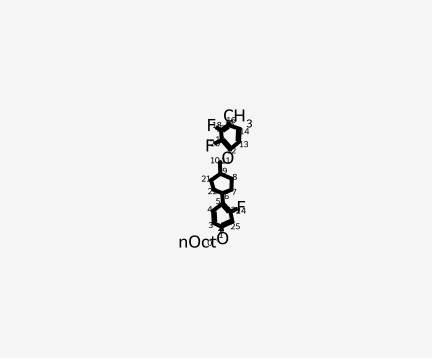 CCCCCCCCOc1ccc(C2CCC(COc3ccc(C)c(F)c3F)CC2)c(F)c1